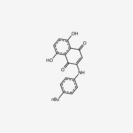 CCCCc1ccc(NC2=CC(=O)c3c(O)ccc(O)c3C2=O)cc1